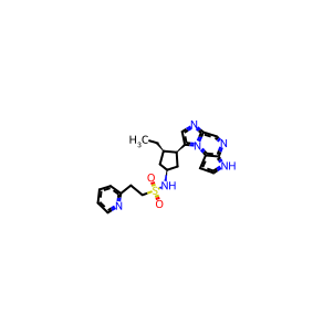 CC[C@@H]1C[C@H](NS(=O)(=O)CCc2ccccn2)C[C@@H]1c1cnc2cnc3[nH]ccc3n12